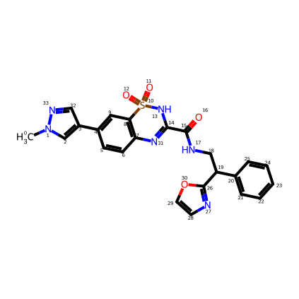 Cn1cc(-c2ccc3c(c2)S(=O)(=O)NC(C(=O)NCC(c2ccccc2)c2ncco2)=N3)cn1